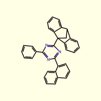 c1ccc(-c2nc(-c3cccc4ccccc34)nc(C34CC(c5ccccc53)c3ccccc34)n2)cc1